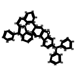 c1ccc(-c2c3ccccc3n3c2ccc2cccc(-c4ccc5c(c4)oc4cc(N(c6ccccc6)c6ccccc6)ccc45)c23)cc1